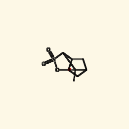 CC1(I)C2CC3OS(=O)(=O)C1C3C2